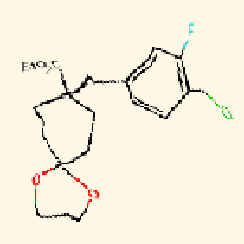 CCOC(=O)C1(Cc2ccc(Cl)c(F)c2)CCC2(CC1)OCCO2